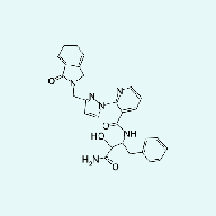 NC(=O)C(O)C(Cc1ccccc1)NC(=O)c1cccnc1-n1ccc(CN2Cc3ccccc3C2=O)n1